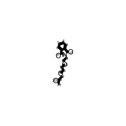 O=C1c2ccccc2C(=O)N1CCOCCOCC1CO1